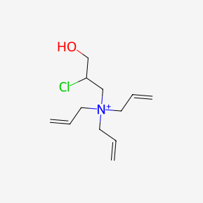 C=CC[N+](CC=C)(CC=C)CC(Cl)CO